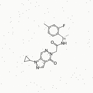 Cc1ccc([C@H](C)NC(=O)Cn2ncc3c(cnn3C3CC3)c2=O)c(F)c1